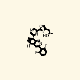 C[C@@H](O)Cc1coc(-c2cncc([C@@]34CC[C@@H](c5cc(-c6c(F)cccc6F)nnc53)C4(C)C)n2)n1